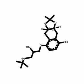 CC(C)(C)NCC(O)COc1ccc(O)c2c1C[C@@H]1OC(C)(C)O[C@@H]1C2